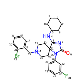 O=C1N=C(NC2CCCCC2)C2(CCN(Cc3ccccc3Br)CC2)N1c1cccc(F)c1